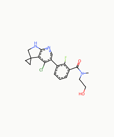 CN(CCO)C(=O)c1cccc(-c2cnc3c(c2Cl)C2(CC2)CN3)c1F